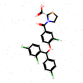 O=C(O)[C@@H]1SCCN1C(=O)c1ccc(OC(c2ccc(Cl)cc2)c2ccc(Cl)cc2Cl)c(F)c1